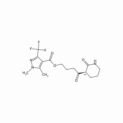 Cc1c(C(=O)OCCCC(=O)[C@@H]2CCCNC2=O)c(C(F)(F)F)nn1C